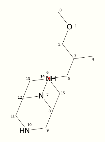 COCC(C)CCN1C2CNCC1CNC2